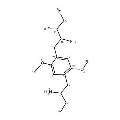 CCC(N)Cc1cc(OC)c(CC(F)C(F)CF)cc1OC